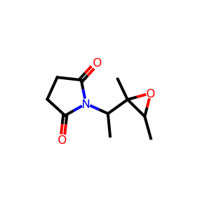 CC1OC1(C)C(C)N1C(=O)CCC1=O